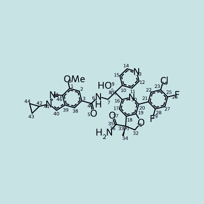 COc1cc(C(=O)NC[C@@](O)(c2ccncc2)c2cc3c(c(-c4cc(Cl)c(F)cc4F)n2)OC[C@]3(C)C(N)=O)cc2cn(C3CC3)nc12